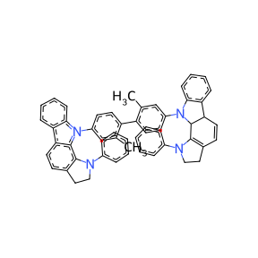 Cc1cc(N2c3ccccc3C3C=CC4=C(C32)N(c2ccccc2)CC4)ccc1-c1ccc(-n2c3ccccc3c3ccc4c(c32)N(c2ccccc2)CC4)cc1C